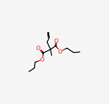 C=CCC(C)(C(=O)OCCC)C(=O)OCCC